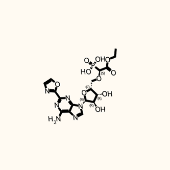 CCOC(=O)[C@@H](OC[C@H]1O[C@@H](n2cnc3c(N)nc(-c4ncco4)nc32)[C@H](O)[C@H]1O)P(=O)(O)O